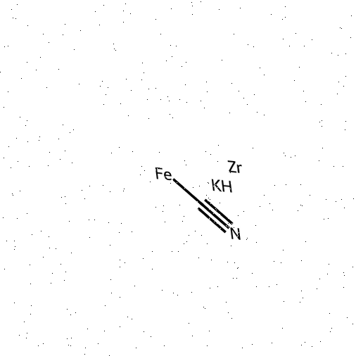 N#[C][Fe].[KH].[Zr]